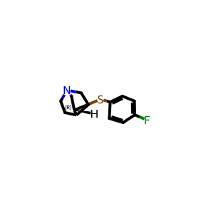 Fc1ccc(S[C@H]2CN3CCC2CC3)cc1